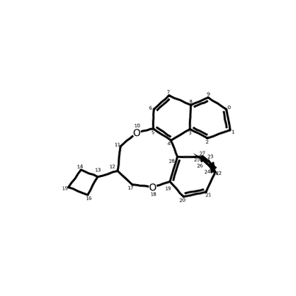 c1ccc2c3c(ccc2c1)OCC(C1CCC1)COc1ccc2ccccc2c1-3